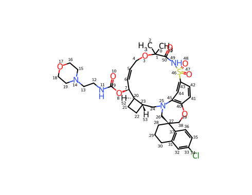 CC1(C)OCC=C[C@H](OC(=O)NCCN2CCOCC2)[C@@H]2CC[C@H]2CN2C[C@@]3(CCCc4cc(Cl)ccc43)COc3ccc(cc32)S(=O)(=O)NC1=O